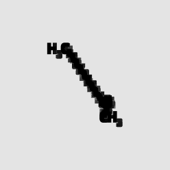 CCCCCCCCCCCCCCCCCCC[n+]1cccc(CCC)c1